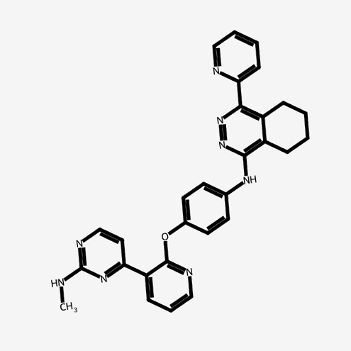 CNc1nccc(-c2cccnc2Oc2ccc(Nc3nnc(-c4ccccn4)c4c3CCCC4)cc2)n1